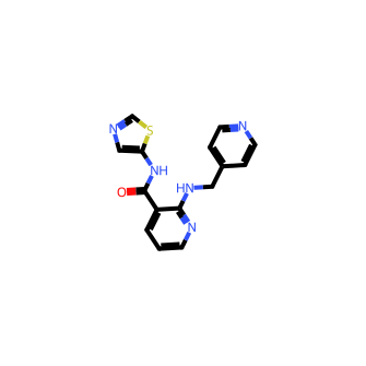 O=C(Nc1cncs1)c1cccnc1NCc1ccncc1